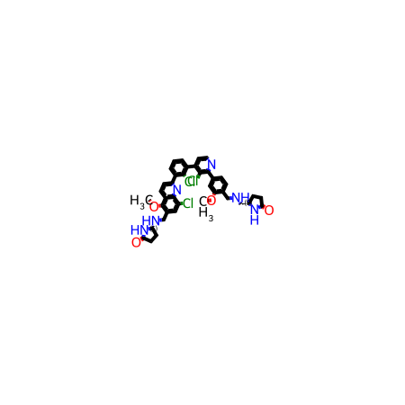 COc1cc(-c2nccc(-c3cccc(-c4ccc5c(OC)c(CN[C@@H]6CCC(=O)N6)cc(Cl)c5n4)c3Cl)c2Cl)ccc1CNC[C@@H]1CCC(=O)N1